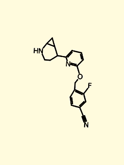 N#Cc1ccc(COc2cccc(C3CCNC4CC43)n2)c(F)c1